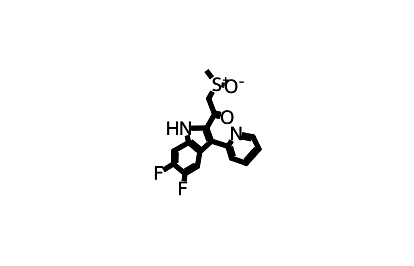 C[S+]([O-])CC(=O)c1[nH]c2cc(F)c(F)cc2c1-c1ccccn1